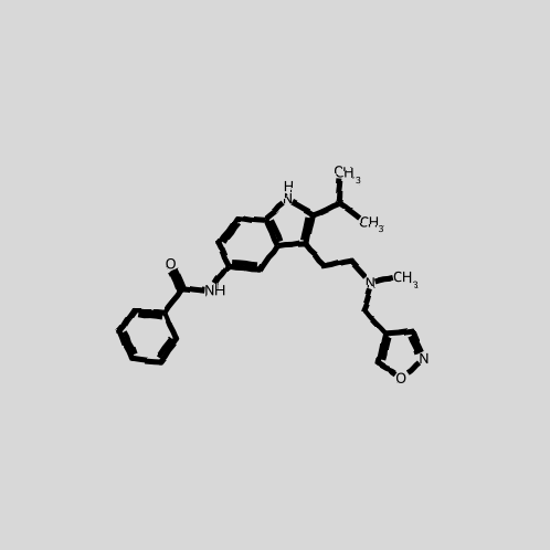 CC(C)c1[nH]c2ccc(NC(=O)c3ccccc3)cc2c1CCN(C)Cc1cnoc1